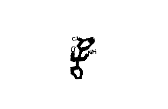 N=CC(C=O)(c1ccccc1)c1cccc(Cl)c1